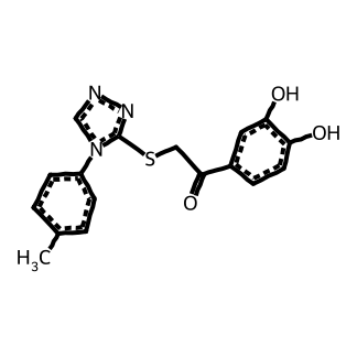 Cc1ccc(-n2cnnc2SCC(=O)c2ccc(O)c(O)c2)cc1